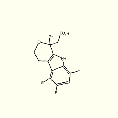 Cc1cc(F)c(Br)c2c3c([nH]c12)C(CC(=O)O)(C(C)C)OCC3